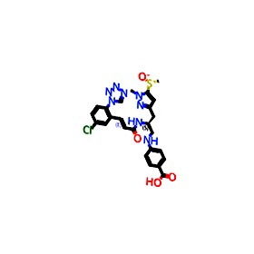 Cn1nc(C[C@@H](CNc2ccc(C(=O)O)cc2)NC(=O)/C=C/c2cc(Cl)ccc2-n2cnnn2)cc1[S+](C)[O-]